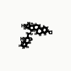 C[C@]12CCC3c4ccc(Cl)cc4CCC3C1[C@H](CCC(=O)Nc1ncccc1F)c1c[nH]nc12